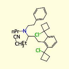 CC#N.CCCN(CCc1ccccc1)C(CC)CCc1c(C2(Cl)CCC2)cccc1C1(Cl)CCC1